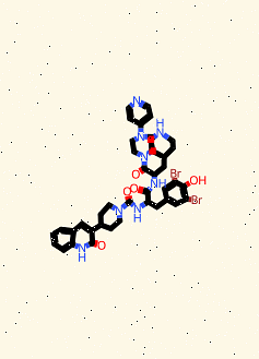 O=C(NC(CC1CCNCC1)C(=O)N1CCN(c2ccncc2)CC1)C(Cc1cc(Br)c(O)c(Br)c1)NC(=O)N1CCC(c2cc3ccccc3[nH]c2=O)CC1